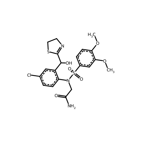 COc1ccc(S(=O)(=O)N(CC(N)=O)c2ccc(Cl)cc2C(O)C2=NCCS2)cc1OC